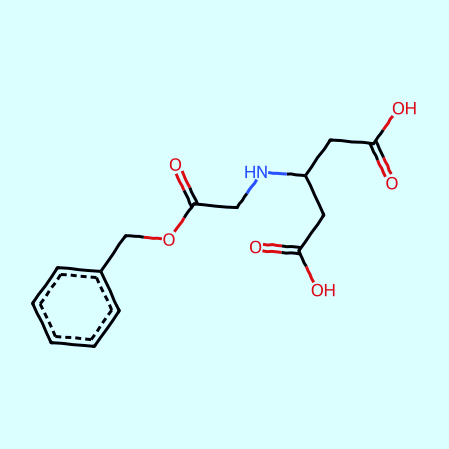 O=C(O)CC(CC(=O)O)NCC(=O)OCc1ccccc1